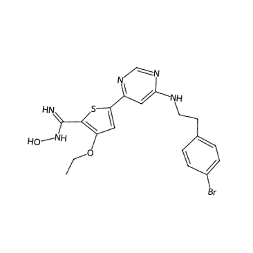 CCOc1cc(-c2cc(NCCc3ccc(Br)cc3)ncn2)sc1C(=N)NO